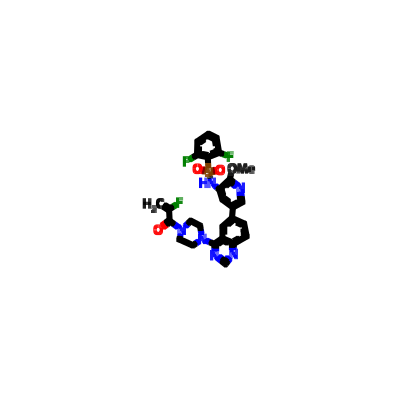 C=C(F)C(=O)N1CCN(c2ncnc3ccc(-c4cnc(OC)c(NS(=O)(=O)c5c(F)cccc5F)c4)cc23)CC1